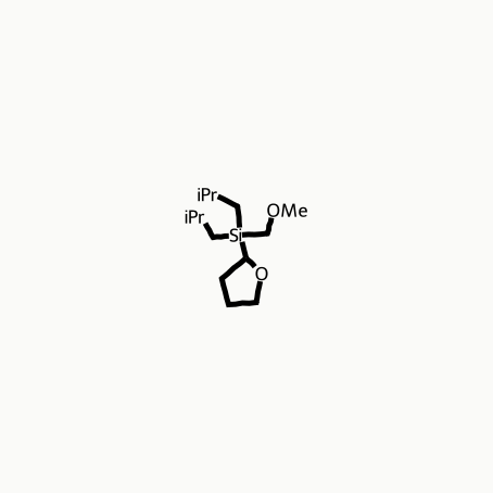 COC[Si](CC(C)C)(CC(C)C)C1CCCO1